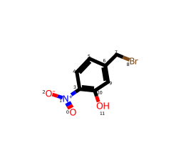 O=[N+]([O-])c1ccc(CBr)cc1O